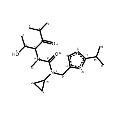 CC(C)C(=O)C(C(C)O)N(C)C(=O)N(Cc1csc(C(C)C)n1)C1CC1